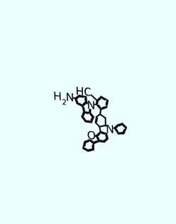 C#Cc1cccc(C2C=CC3c4c(ccc5c4oc4ccccc45)N(c4ccccc4)C3C2)c1-n1c2ccccc2c2cc(N)ccc21